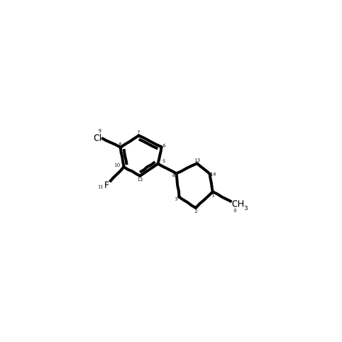 CC1CCC(c2ccc(Cl)c(F)c2)CC1